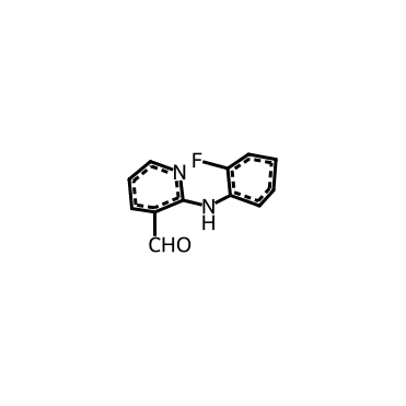 O=Cc1cccnc1Nc1ccccc1F